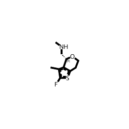 CNC[C@@H]1OCCc2sc(F)c(C)c21